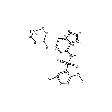 COc1ccc(C)cc1S(=O)(=O)Nc1cc(CN2CCNCC2)cc2ccoc12